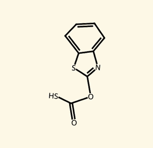 O=C(S)Oc1nc2ccccc2s1